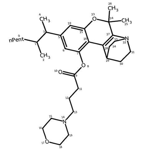 CCCCCC(C)C(C)c1cc(OC(=O)CCCN2CCOCC2)c2c(c1)OC(C)(C)C1=C2C2CCN1CC2